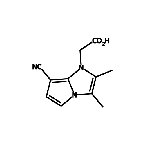 Cc1c(C)n2ccc(C#N)c2n1CC(=O)O